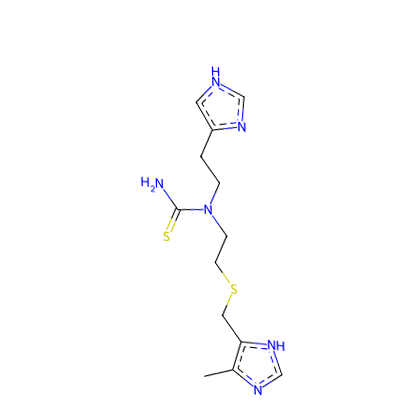 Cc1nc[nH]c1CSCCN(CCc1c[nH]cn1)C(N)=S